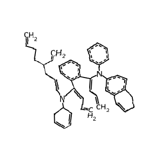 C=C/C=C(/c1ccccc1/C(=C/C=C)N(/C=C/CC(C=C)CCC=C)C1C=CC=CC1)N(c1ccccc1)c1ccc2c(c1)C=CCC2